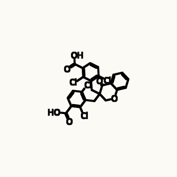 O=C(O)c1ccc(Cl)c(CC2(Cc3c(Cl)ccc(C(=O)O)c3Cl)COc3ccccc3C2=O)c1Cl